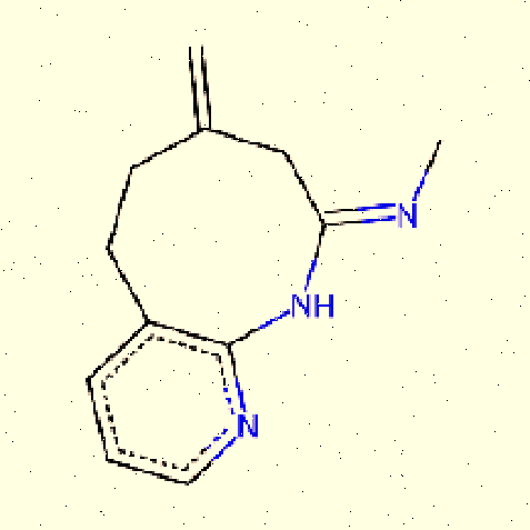 C=C1CCc2cccnc2N/C(=N/C)C1